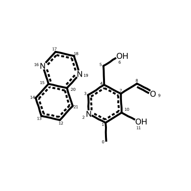 Cc1ncc(CO)c(C=O)c1O.c1ccc2nccnc2c1